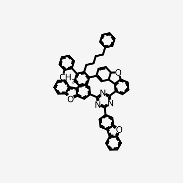 Cc1ccccc1-c1cccc(C2=CC3c4c(cccc4-c4nc(-c5ccc6c(c5)oc5ccccc56)nc(-c5ccc6c(c5)oc5ccccc56)n4)OC3C=C2)c1CCCCc1ccccc1